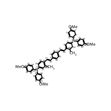 COC1=CCC(N(C2=CC=C(C=Cc3ccc(C=Cc4ccc(N(c5ccc(OC)cc5)c5ccc(OC)cc5)cc4C)cc3)C(C)C2)c2ccc(OC)cc2)C=C1